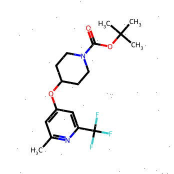 Cc1cc(OC2CCN(C(=O)OC(C)(C)C)CC2)cc(C(F)(F)F)n1